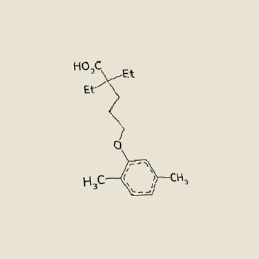 CCC(CC)(CCCOc1cc(C)ccc1C)C(=O)O